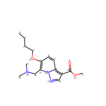 CCCCOc1ccc2c(C(=O)OC)cnn2c1CN(C)C